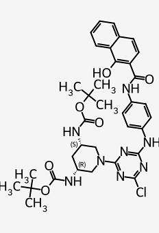 CC(C)(C)OC(=O)N[C@@H]1C[C@H](NC(=O)OC(C)(C)C)CN(c2nc(Cl)nc(Nc3ccc(NC(=O)c4ccc5ccccc5c4O)cc3)n2)C1